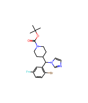 CC(C)(C)OC(=O)N1CCC(C(c2cc(F)ccc2Br)n2ccnc2)CC1